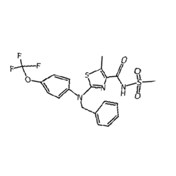 Cc1sc(N(Cc2ccccc2)c2ccc(OC(F)(F)F)cc2)nc1C(=O)NS(C)(=O)=O